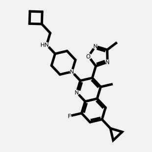 Cc1noc(-c2c(N3CCC(NCC4CCC4)CC3)nc3c(F)cc(C4CC4)cc3c2C)n1